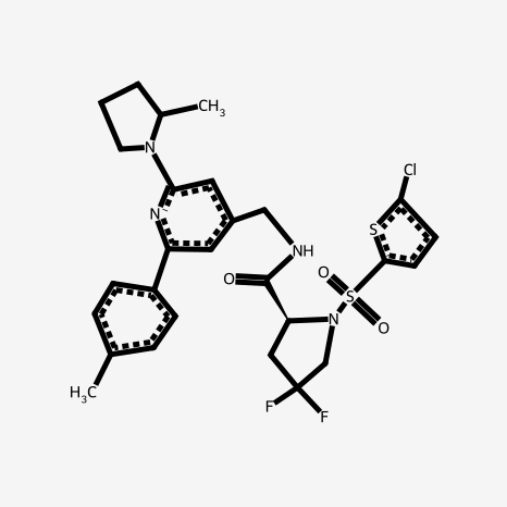 Cc1ccc(-c2cc(CNC(=O)[C@@H]3CC(F)(F)CN3S(=O)(=O)c3ccc(Cl)s3)cc(N3CCCC3C)n2)cc1